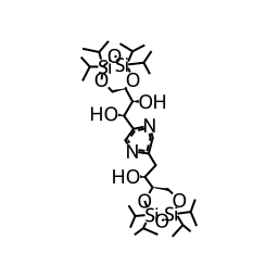 CC(C)[Si]1(C(C)C)OC[C@H]([C@@H](O)[C@H](O)c2cnc(C[C@H](O)[C@H]3CO[Si](C(C)C)(C(C)C)O[Si](C(C)C)(C(C)C)O3)cn2)O[Si](C(C)C)(C(C)C)O1